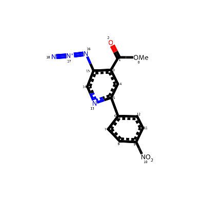 COC(=O)c1cc(-c2ccc([N+](=O)[O-])cc2)ncc1N=[N+]=[N-]